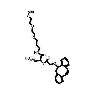 CCCCOCCOCCOCCCNC(=O)C(CS(=O)(=O)O)NC(=O)COC1Cc2ccccc2C#Cc2ccccc21